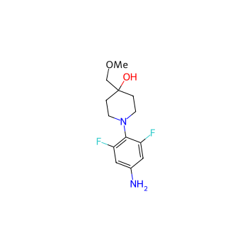 COCC1(O)CCN(c2c(F)cc(N)cc2F)CC1